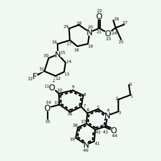 CCCCn1cc(-c2ccc(O[C@H]3CCN(CC4CCN(C(=O)OC(C)(C)C)CC4)C[C@@H]3F)c(OC)c2)c2ccncc2c1=O